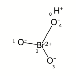 [H+].[O-][Br+2]([O-])[O-]